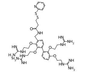 N=C(N)NCCOc1cccc(-c2ccc(CNC(=O)CCSSc3ccccn3)c(OCCNC(=N)N)c2OCCNC(=N)N)c1OCCNC(=N)N